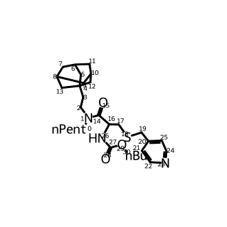 CCCCCN(CCC12CC3CC(CC(C3)C1)C2)C(=O)C(CSCc1ccncc1)NC(=O)OCCCC